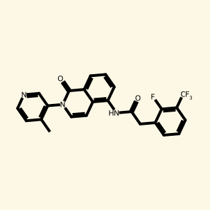 Cc1ccncc1-n1ccc2c(NC(=O)Cc3cccc(C(F)(F)F)c3F)cccc2c1=O